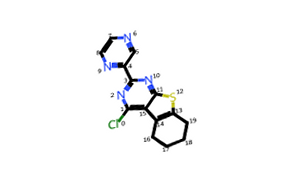 Clc1nc(-c2cnccn2)nc2sc3c(c12)CCCC3